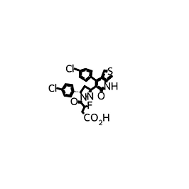 O=C(O)CC(F)C(=O)N1N=C(c2c(-c3ccc(Cl)cc3)c3cscc3[nH]c2=O)C[C@H]1c1ccc(Cl)cc1